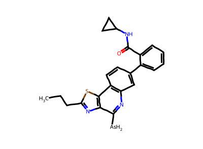 CCCc1nc2c([AsH2])nc3cc(-c4ccccc4C(=O)NC4CC4)ccc3c2s1